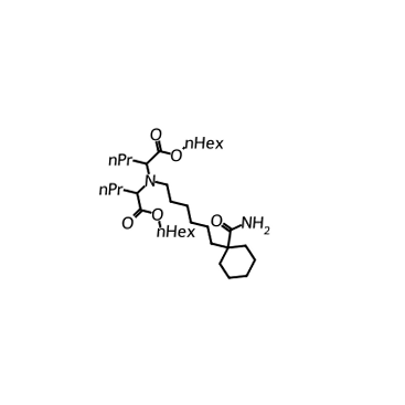 CCCCCCOC(=O)C(CCC)N(CCCCCCC1(C(N)=O)CCCCC1)C(CCC)C(=O)OCCCCCC